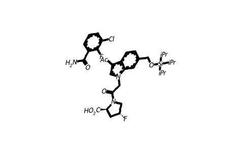 CC(=O)c1cn(CC(=O)N2C[C@H](F)C[C@H]2C(=O)O)c2cc(CO[Si](C(C)C)(C(C)C)C(C)C)ccc12.NC(=O)c1cccc(Cl)c1F